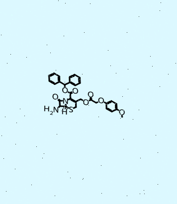 COc1ccc(OCC(=O)OCC2=C(C(=O)OC(c3ccccc3)c3ccccc3)N3C(=O)C(N)[C@@H]3SC2)cc1